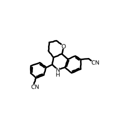 N#CCc1ccc2c(c1)C1OCCCC1C(c1cccc(C#N)c1)N2